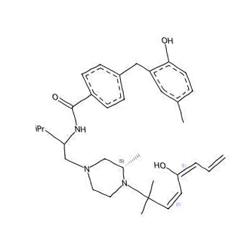 C=C/C=C(O)\C=C/C(C)(C)N1CCN(CC(NC(=O)c2ccc(Cc3cc(C)ccc3O)cc2)C(C)C)C[C@@H]1C